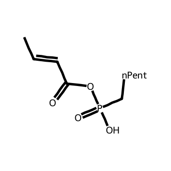 CC=CC(=O)OP(=O)(O)CCCCCC